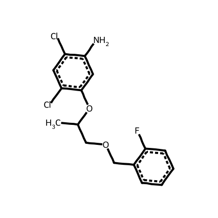 CC(COCc1ccccc1F)Oc1cc(N)c(Cl)cc1Cl